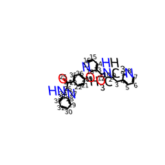 CC(C)(Cc1cccnc1)NC(=O)c1cccnc1Oc1ccc(C(=O)c2nc3ccccc3[nH]2)cc1